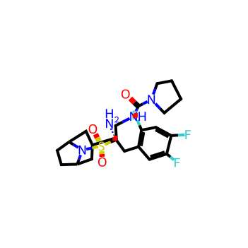 N[C@H](Cc1cc(F)c(F)cc1F)C1CC2CCC(C1)N2S(=O)(=O)CCNC(=O)N1CCCC1